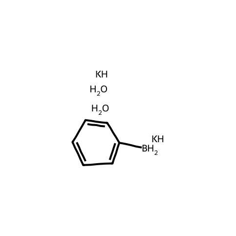 Bc1ccccc1.O.O.[KH].[KH]